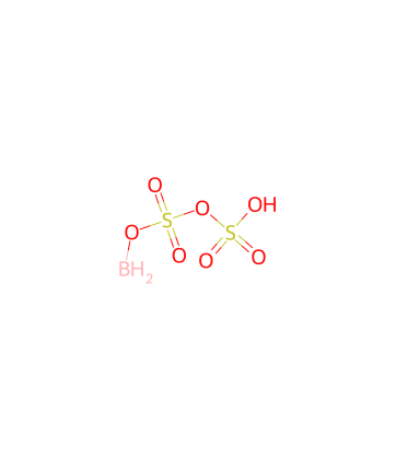 BOS(=O)(=O)OS(=O)(=O)O